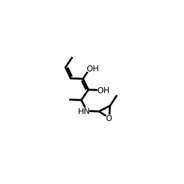 C/C=C\C(O)=C(\O)C(C)NC1OC1C